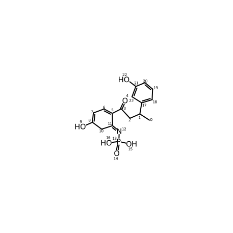 CC(CC(=O)C1=CC=C(O)CC1=NP(=O)(O)O)c1cccc(O)c1